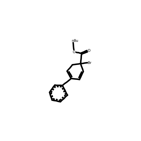 CCCCOC(=O)C1(Br)C=CC(c2ccccc2)=CC1